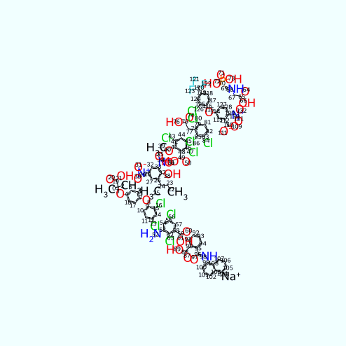 CC(C)(Oc1ccc(Oc2ccc(Cl)cc2Cl)cc1)C(=O)O.CCC(C)c1cc([N+](=O)[O-])cc([N+](=O)[O-])c1O.COc1c(Cl)ccc(Cl)c1C(=O)O.Nc1cc(Cl)cc(C(=O)O)c1Cl.O=C(O)CNCP(=O)(O)O.O=C(O)Cc1c(Cl)ccc(Cl)c1Cl.O=C(O)c1ccccc1C(=O)Nc1cccc2ccccc12.O=C([O-])c1cc(Oc2ccc(C(F)(F)F)cc2Cl)ccc1[N+](=O)[O-].[Na+]